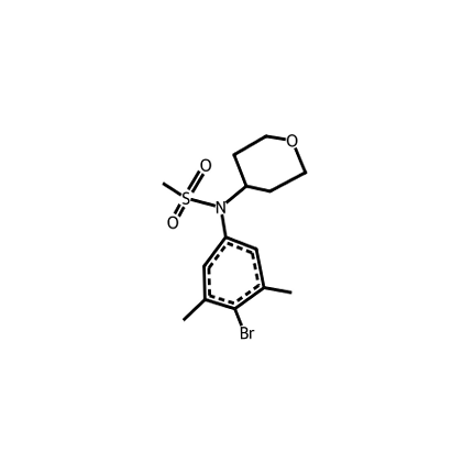 Cc1cc(N(C2CCOCC2)S(C)(=O)=O)cc(C)c1Br